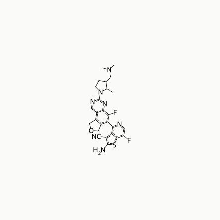 CC1C(CN(C)C)CCN1c1ncc2c3c(c(-c4ncc(F)c5sc(N)c(C#N)c45)c(F)c2n1)COC3